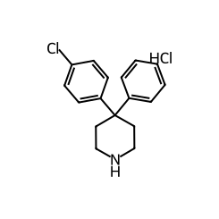 Cl.Clc1ccc(C2(c3ccccc3)CCNCC2)cc1